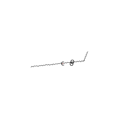 CCCCCCCC/C=C\CCCCCCCCOC(=O)CCCCCCCCCCCCCCCCCCCCCCCCCCCCCCCCCC